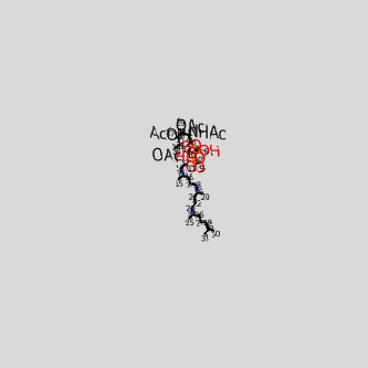 CC(=O)NC1[C@@H](OP(=O)(O)OP(=O)(O)OC/C=C(/C)CC/C=C(/C)CC/C=C(/C)CCC=C(C)C)OC(COC(C)=O)[C@@H](OC(C)=O)[C@@H]1OC(C)=O